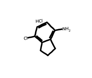 Cl.Nc1ccc(Cl)c2c1CCC2